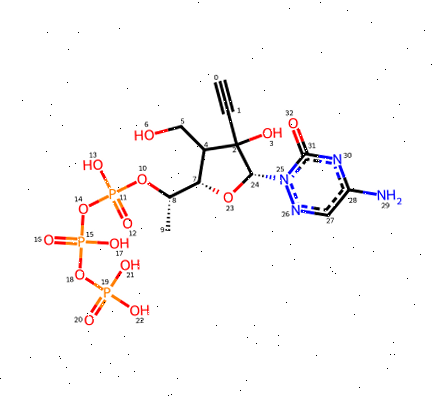 C#CC1(O)C(CO)[C@@H]([C@H](C)OP(=O)(O)OP(=O)(O)OP(=O)(O)O)O[C@H]1n1ncc(N)nc1=O